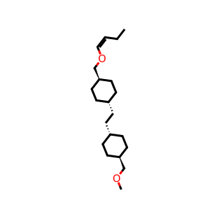 CC/C=C\OC[C@H]1CC[C@H](CC[C@H]2CC[C@H](COC)CC2)CC1